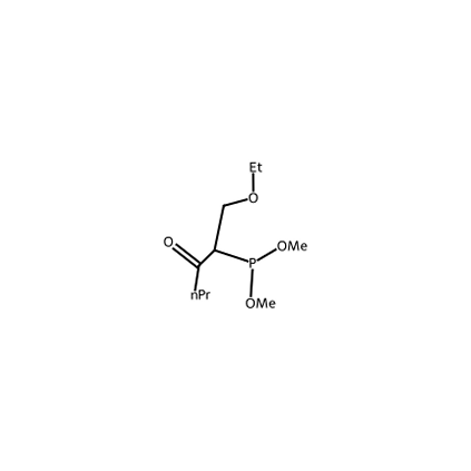 CCCC(=O)C(COCC)P(OC)OC